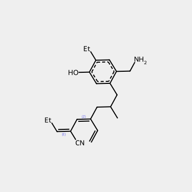 C=C/C(=C\C(C#N)=C/CC)CC(C)Cc1cc(O)c(CC)cc1CN